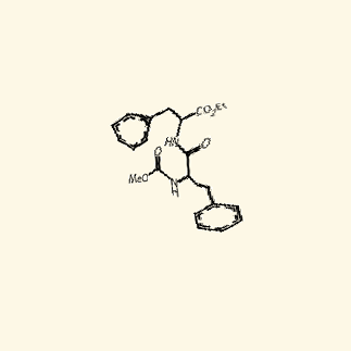 CCOC(=O)C(Cc1ccccc1)NC(=O)C(Cc1ccccc1)NC(=O)OC